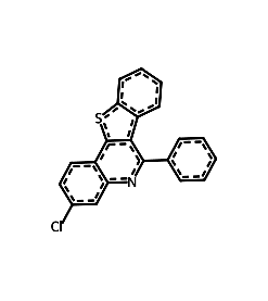 Clc1ccc2c(c1)nc(-c1ccccc1)c1c3ccccc3sc21